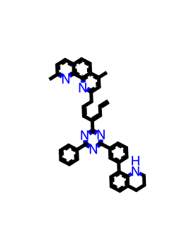 C=C/C=C(\C=C/Cc1cc(C)c2ccc3ccc(C)nc3c2n1)c1nc(-c2ccccc2)nc(-c2cccc(-c3cccc4c3NCCC4)c2)n1